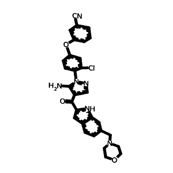 N#Cc1cccc(Oc2ccc(-n3ncc(C(=O)c4cc5ccc(CN6CCOCC6)cc5[nH]4)c3N)c(Cl)c2)c1